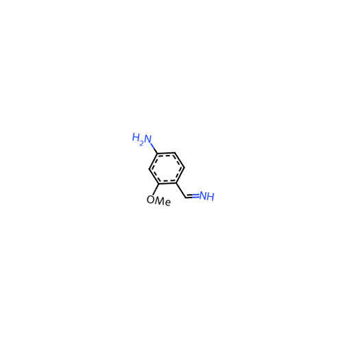 COc1cc(N)ccc1C=N